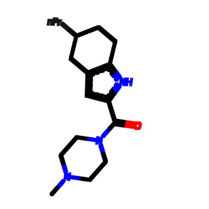 CCCC1CCc2[nH]c(C(=O)N3CCN(C)CC3)cc2C1